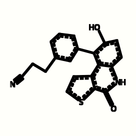 N#CCCc1cccc(-c2c(O)ccc3[nH]c(=O)c4sccc4c23)c1